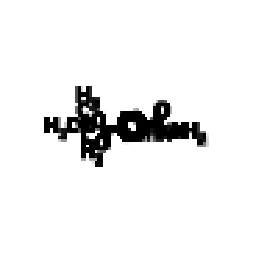 CC(C)(C)OC(=O)c1ccc(C(=O)NN)cc1